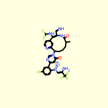 CC1CCCC(n2cnc(-c3cc(F)ccc3N(N)/C=C(\N)C(F)(F)F)cc2=O)c2cc(ccn2)/C(NC(F)F)=C(/C=N)NC1=O